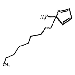 CCCCCCCCCC1(P)C=CC=P1